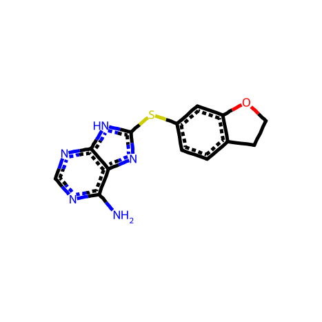 Nc1ncnc2[nH]c(Sc3ccc4c(c3)OCC4)nc12